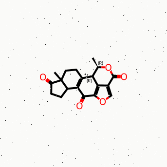 C[C@H]1OC(=O)c2coc3c2[C@@]1(C)C1=C(C3=O)C2CCC(=O)C2(C)CC1